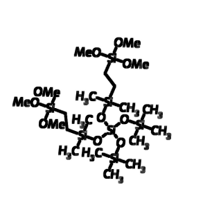 CO[Si](CC[Si](C)(C)O[Si](O[Si](C)(C)C)(O[Si](C)(C)C)O[Si](C)(C)CC[Si](OC)(OC)OC)(OC)OC